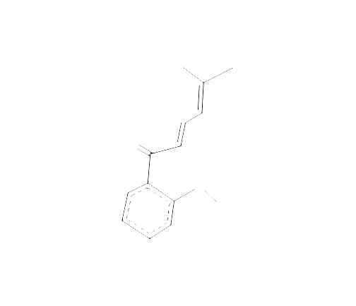 COc1ccccc1C(=O)C=CC=C(C)C